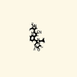 Cc1c(-c2nc3cccc(-c4nc(C5CC5)n5c4CN(C)C(=O)C5C)c3cc2C#N)cnn1C